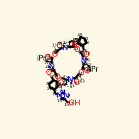 CC(C)C[C@H]1C(=O)O[C@H](Cc2ccc(Cn3cc(CO)nn3)cc2)C(=O)N(C)[C@@H](CC(C)C)C(=O)O[C@H](C)C(=O)N(C)[C@@H](CC(C)C)C(=O)O[C@H](Cc2ccccc2)C(=O)N(C)[C@@H](CC(C)C)C(=O)O[C@H](C)C(=O)N1C